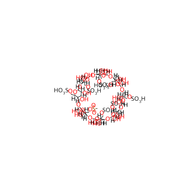 CS(=O)(=O)OC[C@H]1O[C@@H]2O[C@H]3[C@H](O)[C@@H](O)[C@@H](O[C@H]4[C@H](O)[C@@H](O)C(O[C@H]5[C@H](O)[C@@H](O)[C@@H](O[C@H]6[C@H](O)[C@@H](O)[C@@H](O[C@H]7[C@H](O)[C@@H](O)[C@@H](O[C@H]8[C@H](O)[C@@H](O)[C@@H](O[C@H]9[C@H](O)[C@@H](O)[C@@H](O[C@H]1[C@H](O)[C@H]2O)O[C@@H]9COS(=O)(=O)O)O[C@@H]8COS(=O)(=O)O)O[C@@H]7COS(=O)(=O)O)O[C@@H]6COS(=O)(=O)O)O[C@@H]5COS(=O)(=O)O)O[C@@H]4COS(=O)(=O)O)O[C@@H]3COS(=O)(=O)O